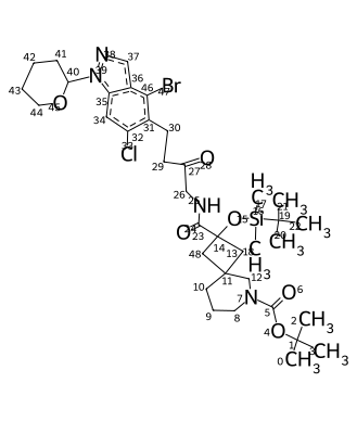 CC(C)(C)OC(=O)N1CCCC2(C1)CC(O[Si](C)(C)C(C)(C)C)(C(=O)NCC(=O)CCc1c(Cl)cc3c(cnn3C3CCCCO3)c1Br)C2